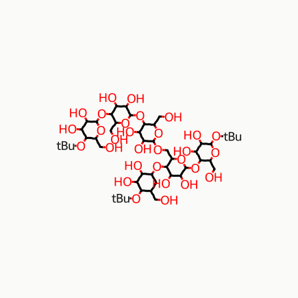 CC(C)(C)OC1OC(CO)C(OC2OC(COC3OC(CO)C(OC4OC(CO)C(OC5OC(CO)C(OC(C)(C)C)C(O)C5O)C(O)C4O)C(O)C3O)C(OC3CC(CO)C(OC(C)(C)C)C(O)C3O)C(O)C2O)C(O)C1O